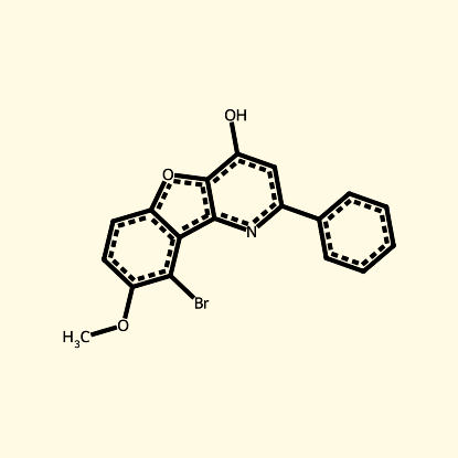 COc1ccc2oc3c(O)cc(-c4ccccc4)nc3c2c1Br